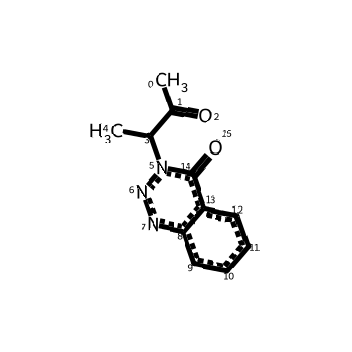 CC(=O)C(C)n1nnc2ccccc2c1=O